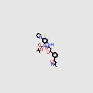 Cc1cc(-c2cccc(C(=O)CC(=O)Nc3cc(F)c(N4CCCC4)cc3NC(=O)OC(C)(C)C)c2)on1